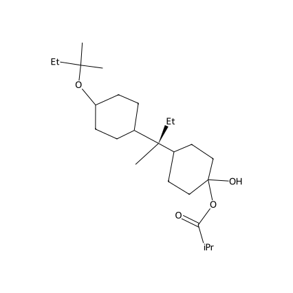 CCC(C)(C)OC1CCC([C@](C)(CC)C2CCC(O)(OC(=O)C(C)C)CC2)CC1